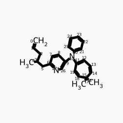 C=CCC(C)Cc1ccc(N(C2=CC=CC(C)(C)C=C2)c2ccccc2)cn1